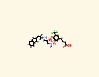 CN(C[C@H](O)CNC(C)(C)CC1Cc2ccccc2C1)S(=O)(=O)c1cc(CCCC(=O)O)cc(C(F)(F)F)c1